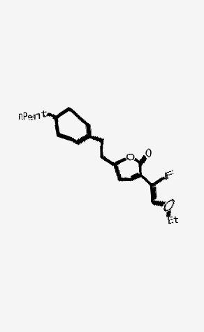 CCCCCC1CCC(CCC2CC=C(/C(F)=C/OCC)C(=O)O2)CC1